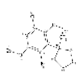 CCOc1nc(Cl)c(OCC)c(C2(C(F)(F)F)CCCC2)c1Br